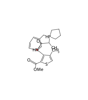 COC(=O)c1scc(C)c1NC(=O)C(C)[PH]1(Cc2ccccc2)CCCC1